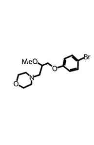 COC(COc1ccc(Br)cc1)CN1CCOCC1